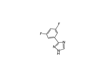 Fc1cc(F)cc(-c2nc[nH]n2)c1